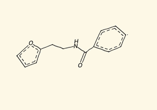 O=C(NCCc1ccco1)c1cc[c]cc1